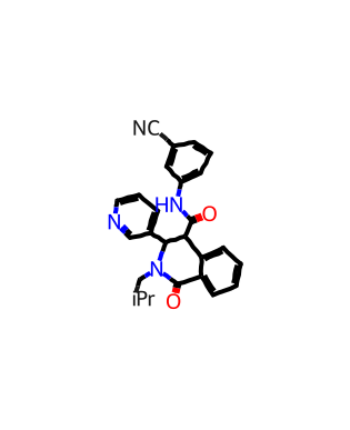 CC(C)CN1C(=O)c2ccccc2C(C(=O)Nc2cccc(C#N)c2)C1c1cccnc1